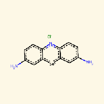 Nc1ccc2nc3ccc(N)cc3[se+]c2c1.[Cl-]